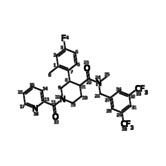 Cc1cc(F)ccc1C1CN(C(=O)c2ccccn2)CCC1C(=O)N(C)Cc1cc(C(F)(F)F)cc(C(F)(F)F)c1